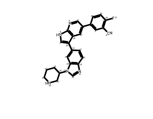 N#Cc1cc(-c2cnc3[nH]cc(-c4ccc5ncn(C6CCCNC6)c5c4)c3c2)ccc1F